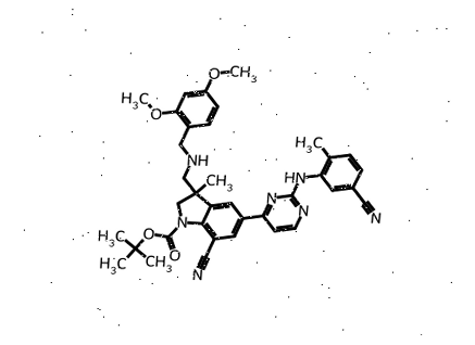 COc1ccc(CNCC2(C)CN(C(=O)OC(C)(C)C)c3c(C#N)cc(-c4ccnc(Nc5cc(C#N)ccc5C)n4)cc32)c(OC)c1